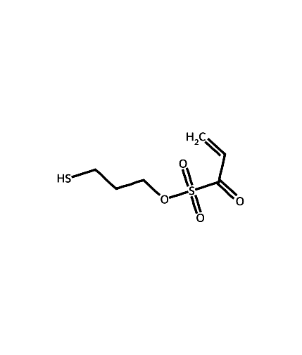 C=CC(=O)S(=O)(=O)OCCCS